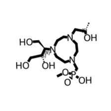 COP(=O)(O)CN1CCN(C[C@H](C)O)CCN([C@H](CO)[C@H](O)CO)CC1